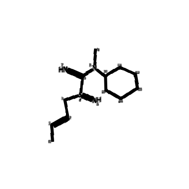 CC=CCS(=N)C(=N)N(C)C1CCCCC1